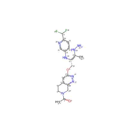 CC(=O)N1CCc2cc(OC/C(Nc3ccc(C(F)F)nc3)=C(\C)NN)nnc2C1